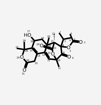 CC(=O)OC1(C(C)C)C(=O)C2(C)C=C3C4=C(C(O)CC3(C)[C@]1(C)C(=O)O2)C(C)(C)OC(=O)C4